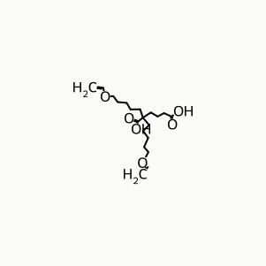 C=COCCCCCC(CCCCCOC=C)(CCCC(=O)O)C(=O)O